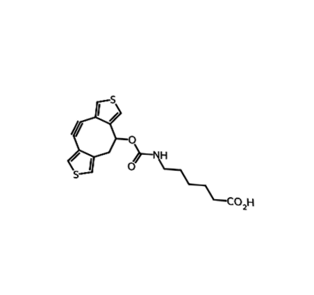 O=C(O)CCCCCNC(=O)OC1Cc2cscc2C#Cc2cscc21